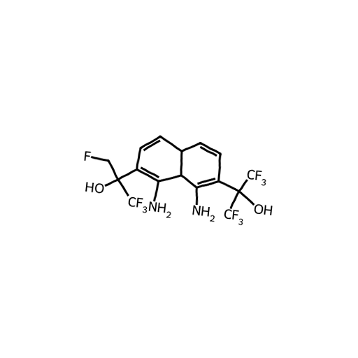 NC1=C(C(O)(CF)C(F)(F)F)C=CC2C=CC(C(O)(C(F)(F)F)C(F)(F)F)=C(N)C12